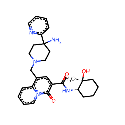 C[C@]1(O)CCCC[C@@H]1NC(=O)c1cc(CN2CCC(N)(c3ccccn3)CC2)c2ccccn2c1=O